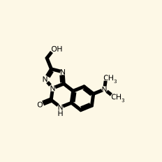 CN(C)c1ccc2[nH]c(=O)n3nc(CO)nc3c2c1